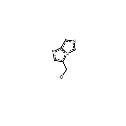 OCc1csc2cncn12